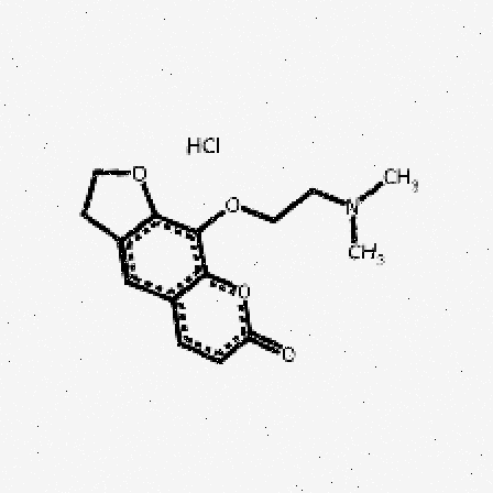 CN(C)CCOc1c2c(cc3ccc(=O)oc13)CCO2.Cl